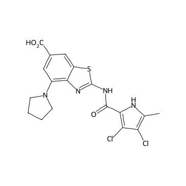 Cc1[nH]c(C(=O)Nc2nc3c(N4CCCC4)cc(C(=O)O)cc3s2)c(Cl)c1Cl